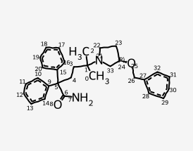 CC(C)(CCC(C(N)=O)(c1ccccc1)c1ccccc1)N1CC[C@@H](OCc2ccccc2)C1